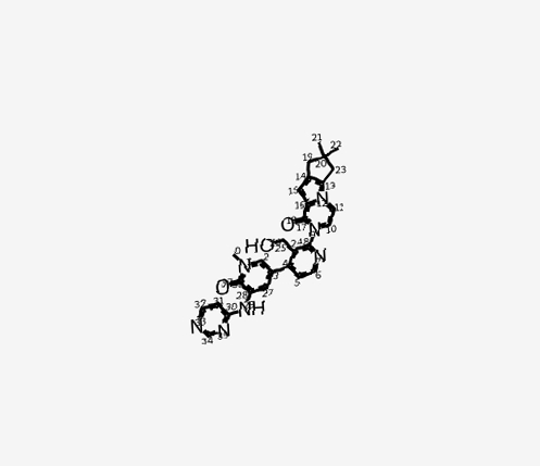 Cn1cc(-c2ccnc(-n3ccn4c5c(cc4c3=O)CC(C)(C)C5)c2CO)cc(Nc2ccncn2)c1=O